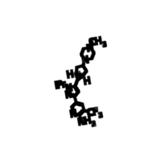 CC(C)n1nc(-c2cnc(N)c(C(F)(F)F)c2)cc1C1[C@H]2CC(N3CCN(C)CC3)C[C@@H]12